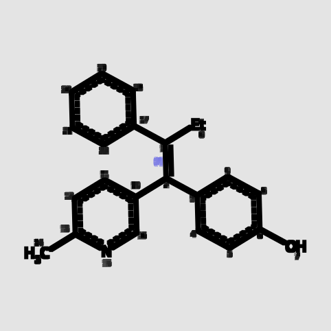 CC/C(=C(\c1ccc(O)cc1)c1ccc(C)nc1)c1ccccc1